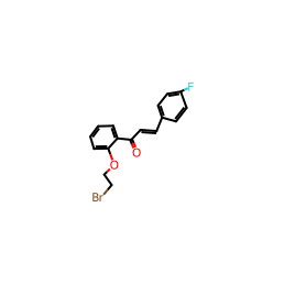 O=C(C=Cc1ccc(F)cc1)c1ccccc1OCCBr